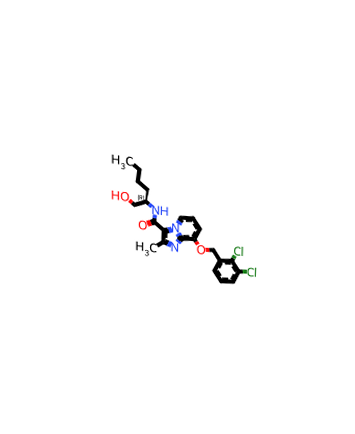 CCCC[C@H](CO)NC(=O)c1c(C)nc2c(OCc3cccc(Cl)c3Cl)cccn12